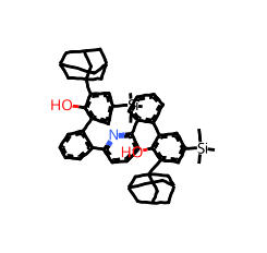 C[Si](C)(C)c1cc(-c2ccccc2-c2cccc(-c3ccccc3-c3cc([Si](C)(C)C)cc(C45CC6CC(CC(C6)C4)C5)c3O)n2)c(O)c(C23CC4CC(CC(C4)C2)C3)c1